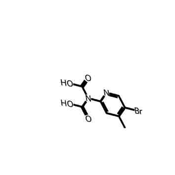 Cc1cc(N(C(=O)O)C(=O)O)ncc1Br